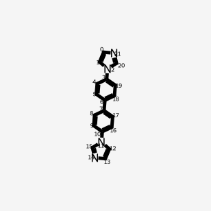 c1cn(-c2ccc(-c3ccc(-n4ccnc4)cc3)cc2)cn1